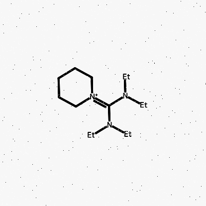 CCN(CC)C(N(CC)CC)=[N+]1CCCCC1